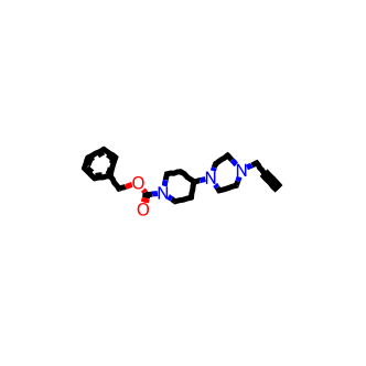 C#CCN1CCN(C2CCN(C(=O)OCc3ccccc3)CC2)CC1